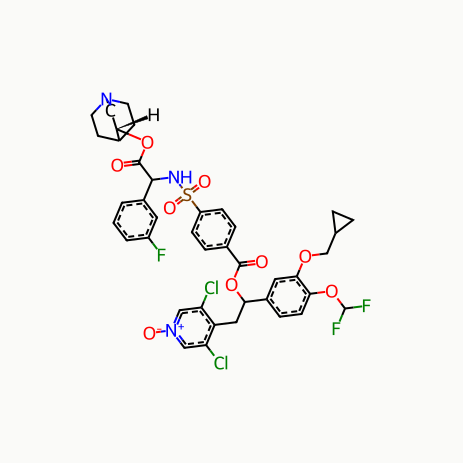 O=C(OC(Cc1c(Cl)c[n+]([O-])cc1Cl)c1ccc(OC(F)F)c(OCC2CC2)c1)c1ccc(S(=O)(=O)NC(C(=O)O[C@H]2CN3CCC2CC3)c2cccc(F)c2)cc1